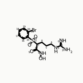 N=C(N)NCCCC(C(=O)NO)S(=O)(=O)c1ccccc1Br